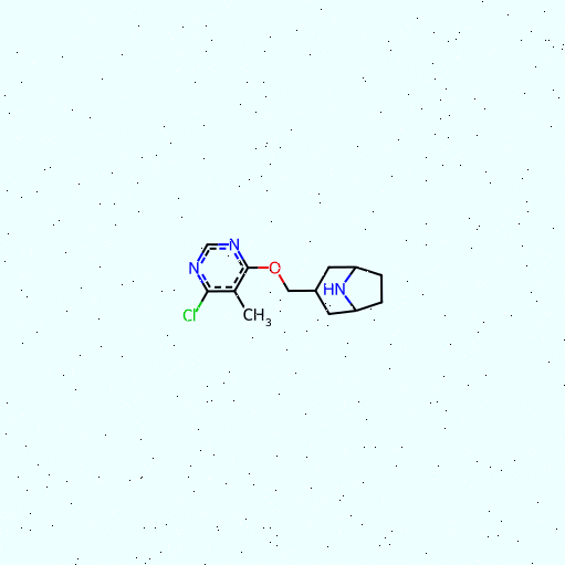 Cc1c(Cl)ncnc1OCC1CC2CCC(C1)N2